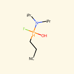 CC(C)N(C(C)C)[PH](O)(F)CCC#N